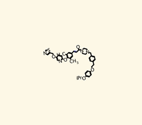 Cc1cc(/C=C/C(=O)N2CCN(Cc3ccc(CCOc4ccc(OC(C)C)cc4)cc3)CC2)cc(C)c1Oc1ccc(OCc2cncs2)cn1